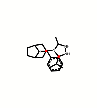 CC(C)C1NNC(C)N1C1CC2CCC(C1)N2Cc1ccccc1